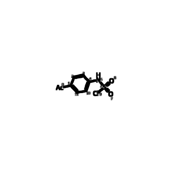 CC(=O)c1ccc(NS(=O)(=O)Cl)cc1